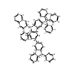 c1ccc(-c2nc3ccccc3nc2-n2c3ccc(-c4ccc5c(c4)c4ccccc4n5-c4ccccc4)cc3c3cc([Si](c4ccccc4)(c4ccccc4)c4ccccc4)ccc32)cc1